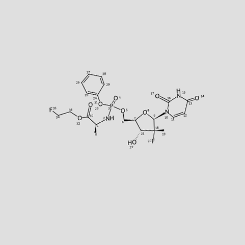 C[C@H](NP(=O)(OC[C@H]1O[C@@H](n2ccc(=O)[nH]c2=O)[C@](C)(F)[C@@H]1O)Oc1ccccc1)C(=O)OCCF